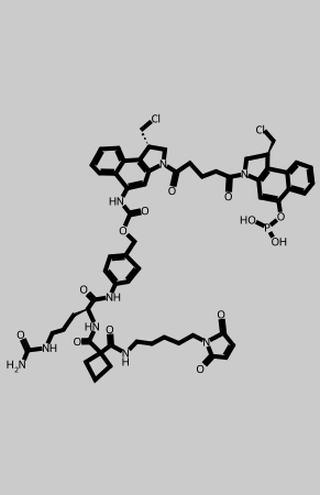 NC(=O)NCCC[C@H](NC(=O)C1(C(=O)NCCCCCN2C(=O)C=CC2=O)CCC1)C(=O)Nc1ccc(COC(=O)Nc2cc3c(c4ccccc24)[C@H](CCl)CN3C(=O)CCCC(=O)N2C[C@@H](CCl)c3c2cc(OP(O)O)c2ccccc32)cc1